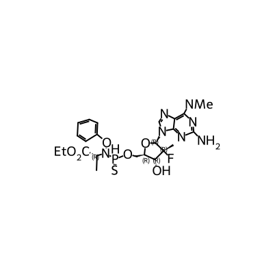 CCOC(=O)[C@@H](C)N(Oc1ccccc1)[PH](=S)OC[C@H]1O[C@@H](n2cnc3c(NC)nc(N)nc32)[C@](C)(F)[C@@H]1O